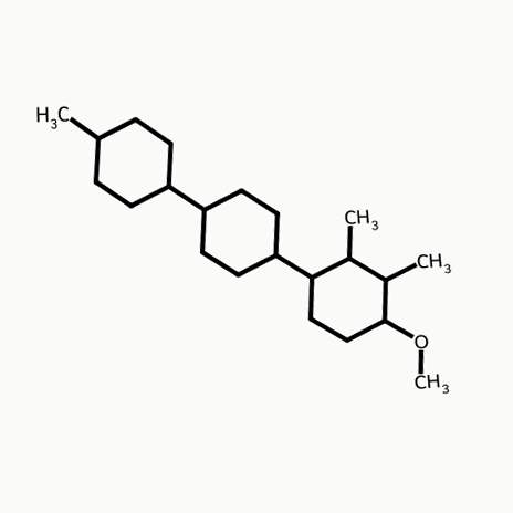 COC1CCC(C2CCC(C3CCC(C)CC3)CC2)C(C)C1C